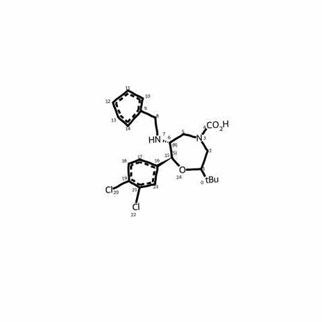 CC(C)(C)C1CN(C(=O)O)C[C@@H](NCc2ccccc2)[C@H](c2ccc(Cl)c(Cl)c2)O1